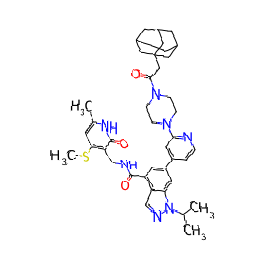 CSc1cc(C)[nH]c(=O)c1CNC(=O)c1cc(-c2ccnc(N3CCN(C(=O)CC45CC6CC(CC(C6)C4)C5)CC3)c2)cc2c1cnn2C(C)C